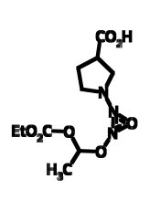 CCOC(=O)OC(C)On1on1N1CCC(C(=O)O)C1